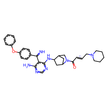 N=C(c1ccc(Oc2ccccc2)cc1)c1c(N)ncnc1NC1CC2CC1CN2C(=O)/C=C/CN1CCCCC1